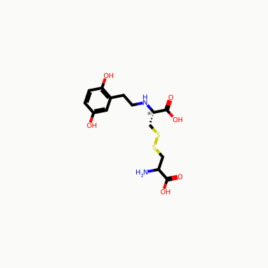 NC(CSSC[C@H](NCCc1cc(O)ccc1O)C(=O)O)C(=O)O